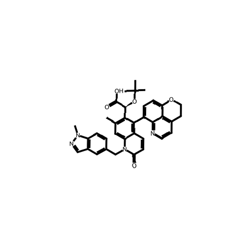 Cc1cc2c(ccc(=O)n2Cc2ccc3c(cnn3C)c2)c(-c2ccc3c4c(ccnc24)CCO3)c1[C@H](OC(C)(C)C)C(=O)O